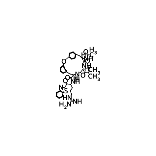 CC(=O)N[C@H]1Cc2ccc(cc2)Oc2cccc(c2)C[C@@H](C(=O)N[C@@H](CCCNC(=N)N)C(=O)c2nc3ccccc3s2)NC(=O)[C@H](CC(C)C)NC1=O